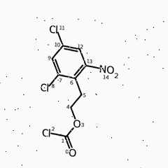 O=C(Cl)OCCc1c(Cl)cc(Cl)cc1[N+](=O)[O-]